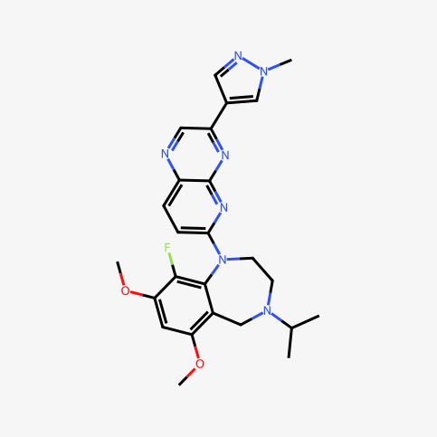 COc1cc(OC)c2c(c1F)N(c1ccc3ncc(-c4cnn(C)c4)nc3n1)CCN(C(C)C)C2